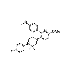 COc1ccc(N2CCN(c3ccc(F)cc3)C(C)(C)C2)c(-c2ccc(N(C)C)cc2)n1